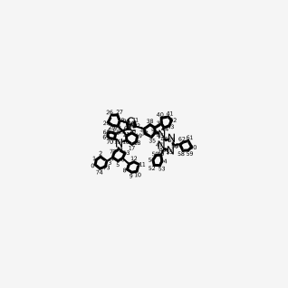 c1ccc(-c2cc(-c3ccccc3)cc(N3c4ccccc4C4(c5ccccc5-c5ccc(-c6ccc7c(c6)c6ccccc6n7-c6nc(-c7ccccc7)nc(-c7ccccc7)n6)cc54)c4ccccc43)c2)cc1